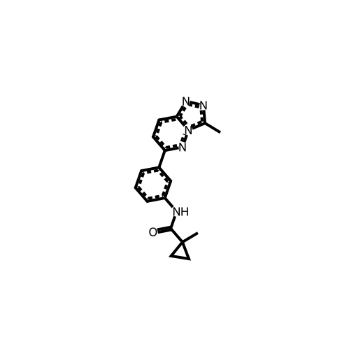 Cc1nnc2ccc(-c3cccc(NC(=O)C4(C)CC4)c3)nn12